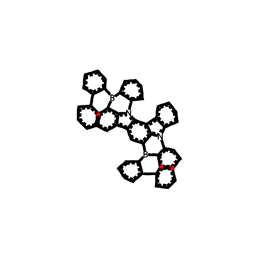 c1ccc(-c2ccccc2B2c3ccccc3-n3c4ccccc4c4c3c2cc2c3cccc5c3n(c24)-c2ccccc2B5c2ccccc2-c2ccccc2)cc1